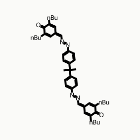 CCCCC1=CC(=C/N=N/c2ccc(C(C)(C)c3ccc(/N=N/C=C4C=C(CCCC)C(=O)C(CCCC)=C4)cc3)cc2)C=C(CCCC)C1=O